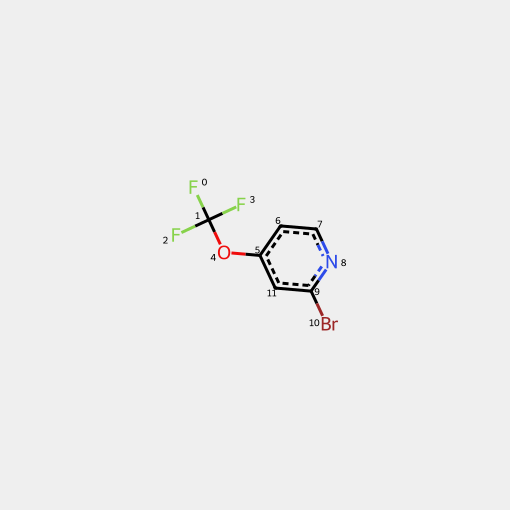 FC(F)(F)Oc1ccnc(Br)c1